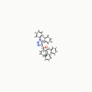 c1ccc(-c2ccccc2-c2oc(-c3nnn(-c4ccccc4)c3-c3ccccc3)c3ccccc23)cc1